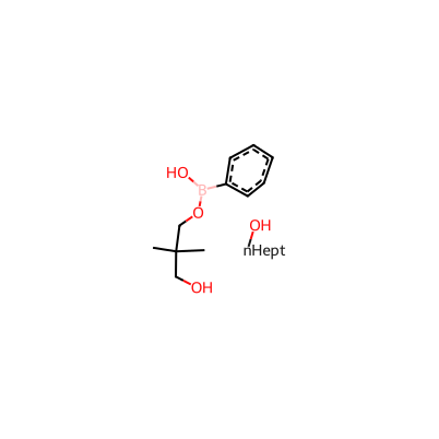 CC(C)(CO)COB(O)c1ccccc1.CCCCCCCO